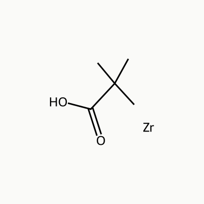 CC(C)(C)C(=O)O.[Zr]